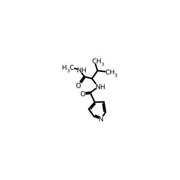 CNC(=O)C(NC(=O)c1ccncc1)C(C)C